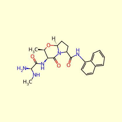 CN[C@@H](N)C(=O)N[C@@H]1C(=O)N2C(C(=O)Nc3cccc4ccccc34)CC[C@@H]2O[C@@H]1C